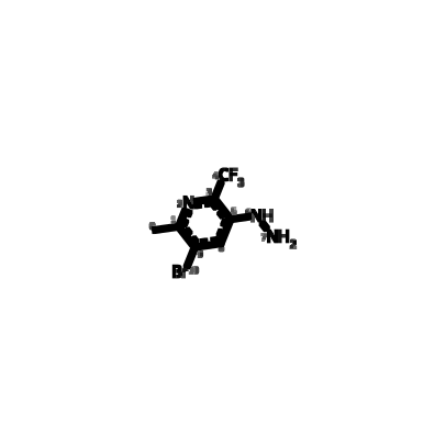 Cc1nc(C(F)(F)F)c(NN)cc1Br